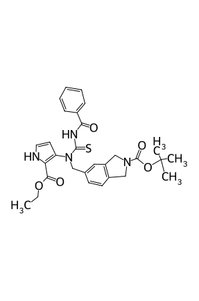 CCOC(=O)c1[nH]ccc1N(Cc1ccc2c(c1)CN(C(=O)OC(C)(C)C)C2)C(=S)NC(=O)c1ccccc1